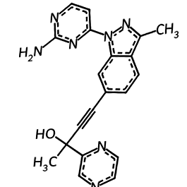 Cc1nn(-c2ccnc(N)n2)c2cc(C#CC(C)(O)c3cnccn3)ccc12